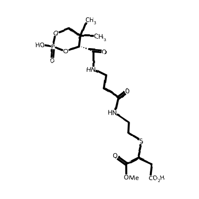 COC(=O)C(CC(=O)O)SCCNC(=O)CCNC(=O)[C@@H]1OP(=O)(O)OCC1(C)C